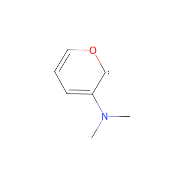 CN(C)C1=CC=CO[C]1